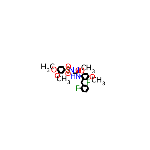 COc1cc(Cc2c(F)cccc2F)c(NC(=O)CNS(=O)(=O)c2ccc(OC)c(OC)c2)c(OC)c1